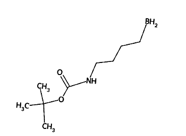 BCCCCNC(=O)OC(C)(C)C